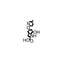 Cc1ccc(Oc2cc(O)c3[nH]c(C(=O)O)cc3c2)nc1